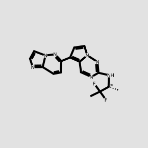 C[C@@H](Nc1ncc2c(-c3ccc4nccn4n3)ccn2n1)C(C)(F)F